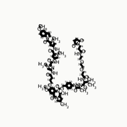 C=C1CC2[C@@H](O)N(C(=O)OCc3ccc(NC(=O)[C@H](C)NC(=O)[C@@H](NC(=O)CCOCCOCCNC(=O)CCN4C(=O)C=CC4=O)C(C)C)cc3)c3cc(OCCCC(=O)Nc4cn(C)c(C(=O)Nc5cc(C(=O)Nc6cc(C(=O)n7ccc8cc(OC)ccc87)n(C)c6)n(C)c5)n4)c(OC)cc3C(=O)N2C1